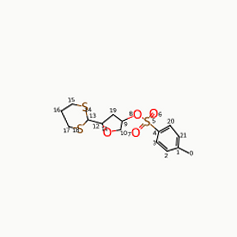 Cc1ccc(S(=O)(=O)OC2COC(C3SCCCS3)C2)cc1